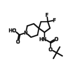 CC(C)(C)OC(=O)NC1CC(F)(F)CC12CCN(C(=O)O)CC2